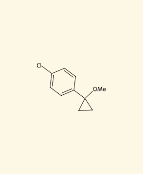 COC1(c2ccc(Cl)cc2)CC1